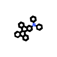 C1=CCC(N(c2ccccc2)c2ccc3c(c2)c2ccccc2c2c4c(c5ccccc5c32)CCC=C4)C=C1